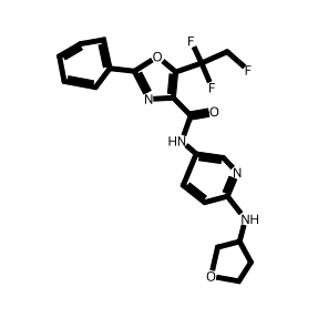 O=C(Nc1ccc(NC2CCOC2)nc1)c1nc(-c2ccccc2)oc1C(F)(F)CF